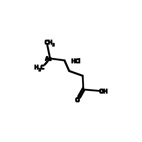 C[As](C)CCCC(=O)O.Cl